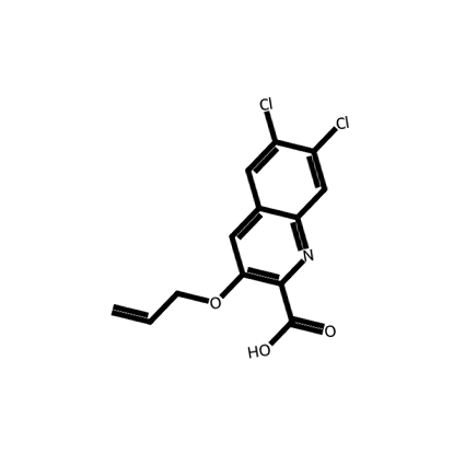 C=CCOc1cc2cc(Cl)c(Cl)cc2nc1C(=O)O